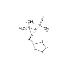 CC1(C)[C@H](C=C2CCCC2)[C@H]1C(=O)O